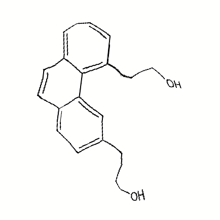 OCCc1ccc2ccc3cccc(CCO)c3c2c1